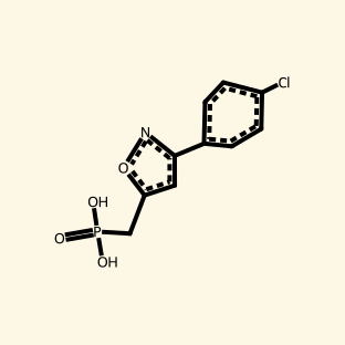 O=P(O)(O)Cc1cc(-c2ccc(Cl)cc2)no1